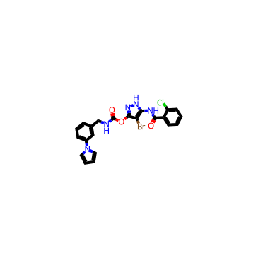 O=C(NCc1cccc(-n2cccc2)c1)Oc1n[nH]c(NC(=O)c2ccccc2Cl)c1Br